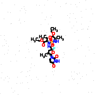 C=C[C@H](NP(=O)(N[C@@H](C)C(=O)OCC)OC[C@]1(F)C[C@H](C)[C@H](n2ccc(=O)[nH]c2=O)O1)C(=O)OCC